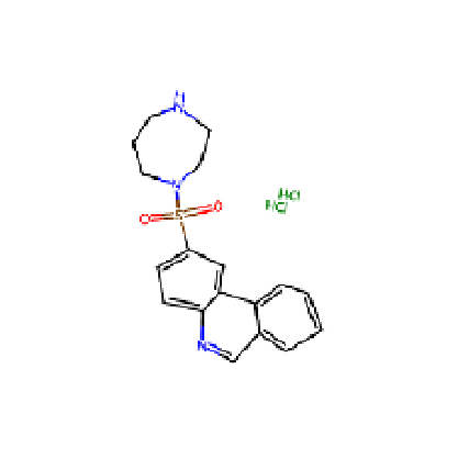 Cl.Cl.O=S(=O)(c1ccc2ncc3ccccc3c2c1)N1CCCNCC1